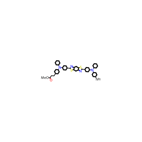 CCCc1ccc(N(c2ccccc2)c2ccc(-c3nc4cc5sc(-c6ccc(N(c7ccccc7)c7ccc(CCC(=O)OC)cc7)cc6)nc5cc4s3)cc2)cc1